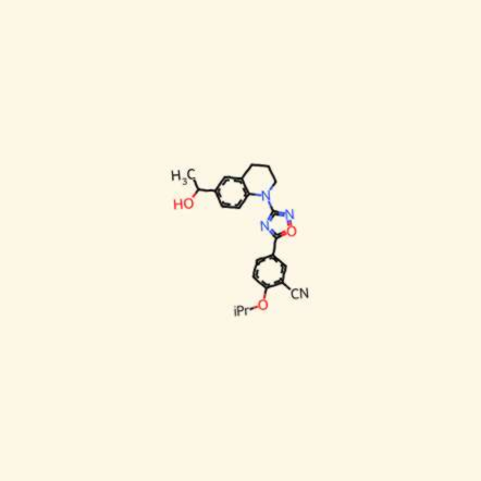 CC(C)Oc1ccc(-c2nc(N3CCCc4cc(C(C)O)ccc43)no2)cc1C#N